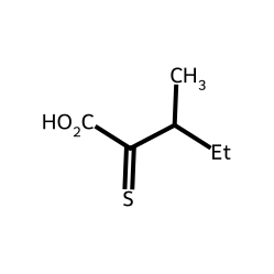 CCC(C)C(=S)C(=O)O